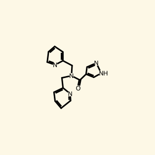 O=C(c1cn[nH]c1)N(Cc1ccccn1)Cc1ccccn1